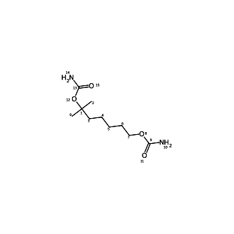 CC(C)(CCCCCOC(N)=O)OC(N)=O